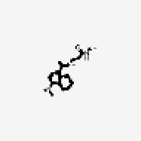 C=C(NCCC(=O)NO)c1ccc(N(C)C)c2ccccc12